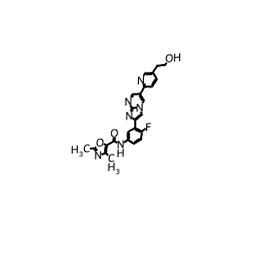 Cc1nc(C)c(C(=O)Nc2ccc(F)c(-c3cn4cc(-c5ccc(CCO)cn5)cnc4n3)c2)o1